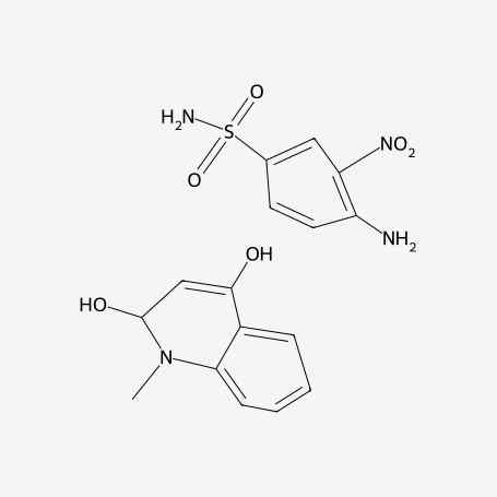 CN1c2ccccc2C(O)=CC1O.Nc1ccc(S(N)(=O)=O)cc1[N+](=O)[O-]